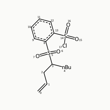 C=CCC(CCCC)S(=O)(=O)c1ccccc1S(=O)(=O)Cl